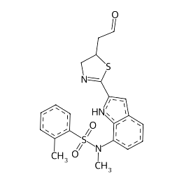 Cc1ccccc1S(=O)(=O)N(C)c1cccc2cc(C3=NCC(CC=O)S3)[nH]c12